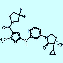 Cn1nc(Nc2cc(N3CC[C@@](C#N)(C4CC4)C3=O)ccn2)cc1C(=O)N1CCC(F)(F)C1